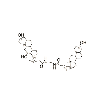 C[C@H](CCC(=O)NCCNC(=O)CC[C@@H](C)[C@H]1CCC2C3CCC4C[C@H](O)CC[C@]4(C)C3CC[C@@]21C)[C@H]1CCC2C3CCC4C[C@H](O)CC[C@]4(C)C3C[C@H](O)[C@@]21C